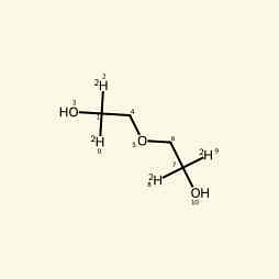 [2H]C([2H])(O)COCC([2H])([2H])O